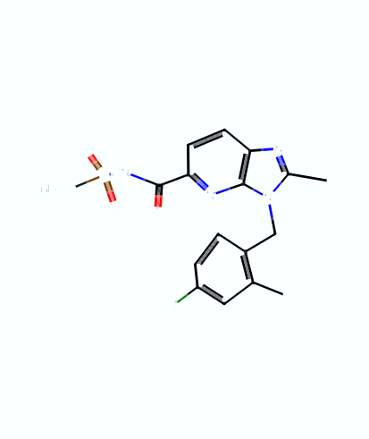 CCCCCS(=O)(=O)NC(=O)c1ccc2nc(C)n(Cc3ccc(Cl)cc3C)c2n1